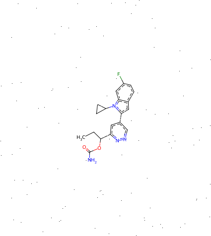 CCC(OC(N)=O)c1cc(-c2cc3ccc(F)cc3n2C2CC2)cnn1